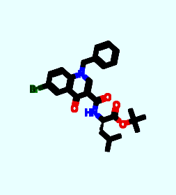 CC(C)C[C@H](NC(=O)c1cn(Cc2ccccc2)c2ccc(Br)cc2c1=O)C(=O)OC(C)(C)C